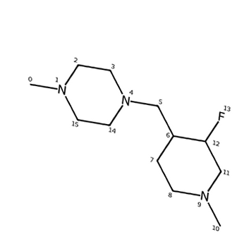 CN1CCN(CC2CCN(C)CC2F)CC1